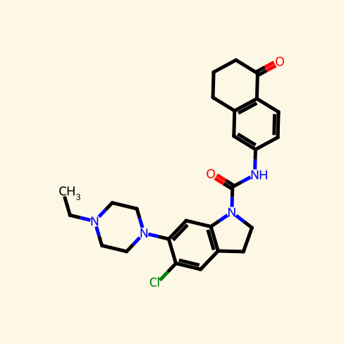 CCN1CCN(c2cc3c(cc2Cl)CCN3C(=O)Nc2ccc3c(c2)CCCC3=O)CC1